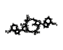 BP1(=O)OC[C@H]2O[C@@H](n3cnc4c(N)ccnc43)[C@H](OP(=O)(S)OC[C@H]3O[C@@H](n4cnc5c(N)ncnc54)[C@H](F)[C@@H]3O1)C2F